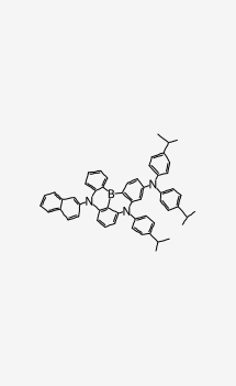 CC(C)c1ccc(N(c2ccc(C(C)C)cc2)c2ccc3c(c2)N(c2ccc(C(C)C)cc2)c2cccc4c2B3c2ccccc2N4c2ccc3ccccc3c2)cc1